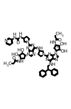 CCC(=O)N[C@H]1C[C@@H](n2cnc3c(NCC(c4ccccc4)c4ccccc4)nc(N4CCC(Nc5nc(N6CCC(NC(=O)Nc7cccnc7)C6)nc6c5ncn6[C@@H]5C[C@H](NC(=O)CC)[C@@H](O)[C@H]5O)C4)nc32)[C@H](O)[C@@H]1O